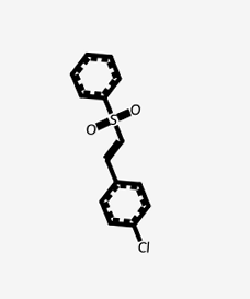 O=S(=O)(/C=C/c1ccc(Cl)cc1)c1ccccc1